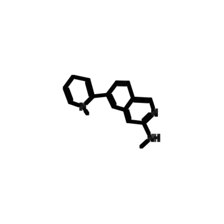 CNc1cc2cc(C3=CCC=CN3C)ccc2cn1